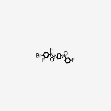 O=C(Nc1ccc(Br)c(F)c1)N1CCN(C(=O)c2cccc(F)c2)CC1